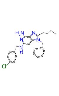 CCCCc1nc2c(N)nc(NCc3ccc(Cl)cc3)cc2n1Cc1ccccc1